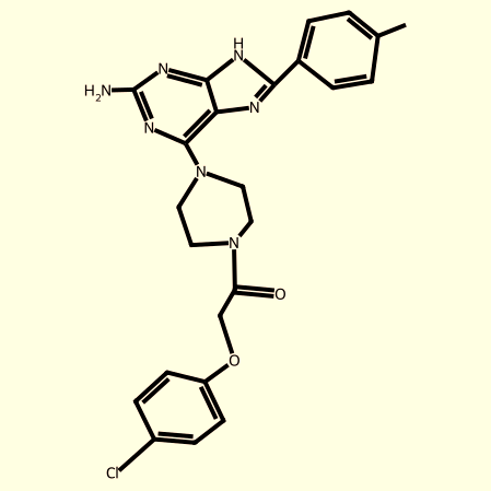 Cc1ccc(-c2nc3c(N4CCN(C(=O)COc5ccc(Cl)cc5)CC4)nc(N)nc3[nH]2)cc1